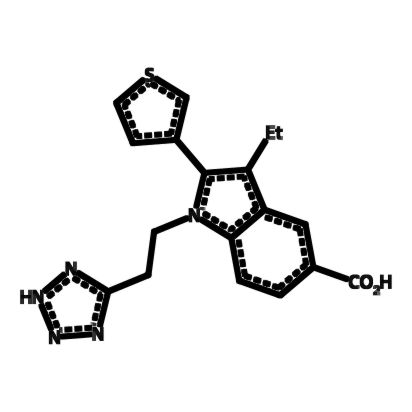 CCc1c(-c2ccsc2)n(CCc2nn[nH]n2)c2ccc(C(=O)O)cc12